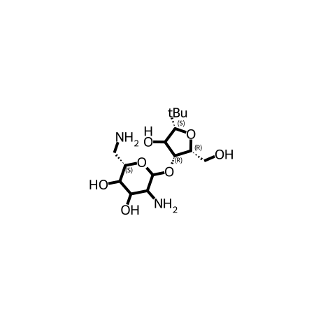 CC(C)(C)[C@@H]1O[C@H](CO)[C@H](OC2O[C@@H](CN)C(O)C(O)C2N)C1O